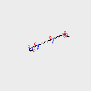 CCOP(=O)(O)OCCCCCCNC(=O)CCOCCOCCNC(=O)CCN1C(=O)C=CC1=O